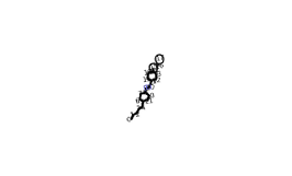 CCCCCC1CCC(/C=C/C2CCC(OC=O)CC2)CC1